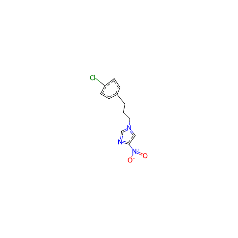 O=[N+]([O-])c1cn(CCCc2ccc(Cl)cc2)cn1